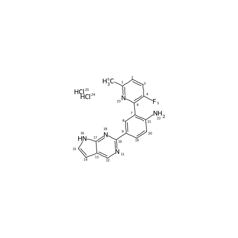 Cc1ccc(F)c(-c2cc(-c3ncc4cc[nH]c4n3)ccc2N)n1.Cl.Cl